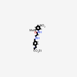 CCOC(=O)/C=C/c1ccc(CNCCC(=O)Nc2cc([N+](=O)[O-])ccc2NC)cc1